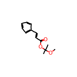 COC(C)(C)OC(=O)C=Cc1ccccc1